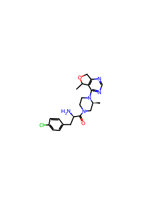 CC1OCc2ncnc(N3CCN(C(=O)[C@H](N)Cc4ccc(Cl)cc4)C[C@@H]3C)c21